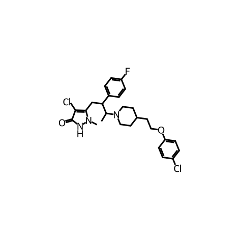 CC(C(Cc1c(Cl)c(=O)[nH]n1C)c1ccc(F)cc1)N1CCC(CCOc2ccc(Cl)cc2)CC1